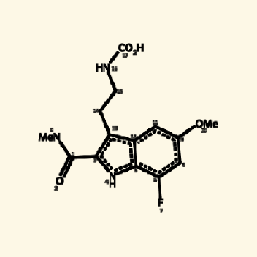 CNC(=O)c1[nH]c2c(F)cc(OC)cc2c1CCNC(=O)O